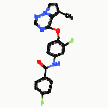 Cc1ccn2ncnc(Oc3ccc(NC(=O)c4ccc(F)cc4)cc3F)c12